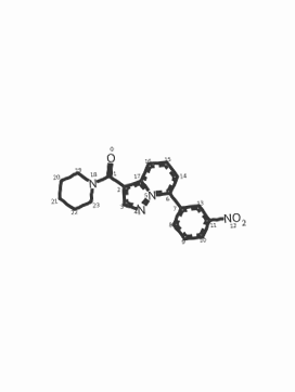 O=C(c1cnn2c(-c3cccc([N+](=O)[O-])c3)cccc12)N1CCCCC1